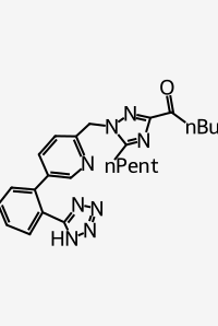 CCCCCc1nc(C(=O)CCCC)nn1Cc1ccc(-c2ccccc2-c2nnn[nH]2)cn1